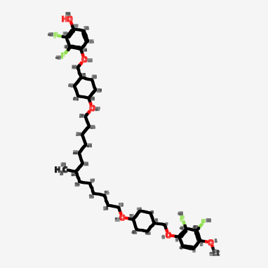 CCOc1ccc(OCC2CCC(OCCCCCCC(C)CCCCCCOC3CCC(COc4ccc(O)c(F)c4F)CC3)CC2)c(F)c1F